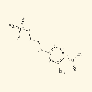 Cc1cc(OCCCS(=O)(=O)Cl)ccc1[N+](=O)[O-]